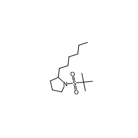 CCCCCCC1CCCN1S(=O)(=O)C(C)(C)C